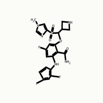 Cn1cnc(S(=O)(=O)C(Oc2cc(F)cc(Nc3ccc(I)cc3F)c2C(N)=O)C2CNC2)c1